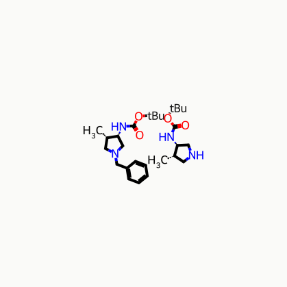 C[C@H]1CN(Cc2ccccc2)C[C@H]1NC(=O)OC(C)(C)C.C[C@H]1CNC[C@H]1NC(=O)OC(C)(C)C